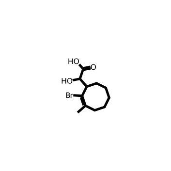 CC1=C(Br)C(C(O)C(=O)O)CCCCC1